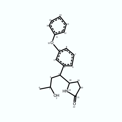 CC(O)CC(c1cccc(Oc2ccccc2)c1)C1CCC(=O)N1